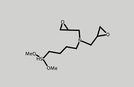 CO[SiH](CCCCN(CC1CO1)CC1CO1)OC